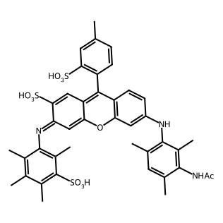 CC(=O)Nc1c(C)cc(C)c(Nc2ccc3c(-c4ccc(C)cc4S(=O)(=O)O)c4cc(S(=O)(=O)O)/c(=N/c5c(C)c(C)c(C)c(S(=O)(=O)O)c5C)cc-4oc3c2)c1C